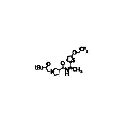 C[C@@H](NC(=O)C1CCN(CC(=O)C(C)(C)C)C1)c1ccc(OCC(F)(F)F)s1